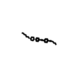 CCCCC#Cc1ccc(C#Cc2ccc([C@H]3CC[C@H](CCCCCCC)CC3)cc2)cc1